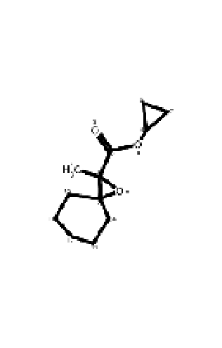 CC1(C(=O)OC2CC2)OC12CCCCC2